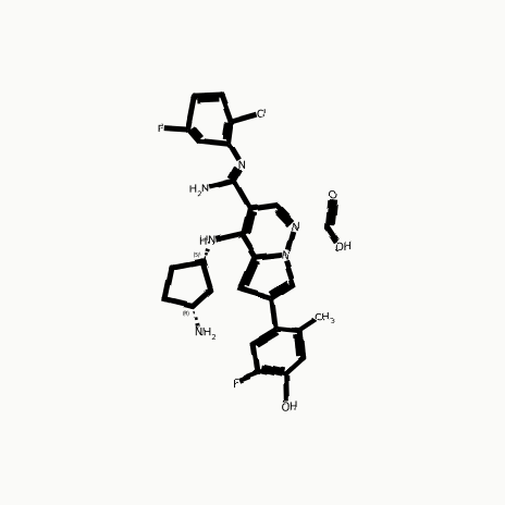 Cc1cc(O)c(F)cc1-c1cc2c(N[C@H]3CC[C@@H](N)C3)c(C(N)=Nc3cc(F)ccc3Cl)cnn2c1.O=CO